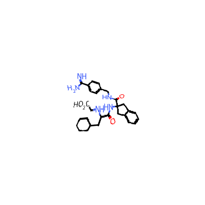 N=C(N)c1ccc(CNC(=O)C2(NC(=O)C(CC3CCCCC3)NCC(=O)O)Cc3ccccc3C2)cc1